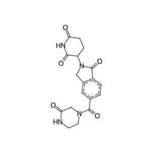 O=C1CN(C(=O)c2ccc3c(c2)CN(C2CCC(=O)NC2=O)C3=O)CCN1